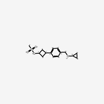 CS(=O)(=O)OC1CC(c2ccc(COC3CC3)cc2)C1